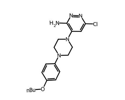 CCCCOc1ccc(N2CCN(c3cc(Cl)nnc3N)CC2)cc1